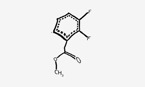 COC(=O)c1[c]ccc(F)c1F